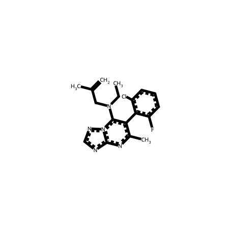 C=C(C)CN(CC)c1c(-c2c(F)cccc2Cl)c(C)nc2ncnn12